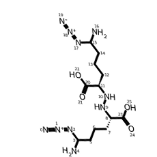 [N-]=[N+]=NC(N)CCC[C@H](NN[C@H](CCCC(N)N=[N+]=[N-])C(=O)O)C(=O)O